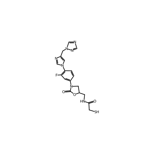 O=C(CS)NCC1CN(c2ccc(-n3cnc(Cn4cncn4)c3)c(F)c2)C(=O)O1